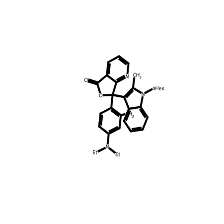 CCCCCCn1c(C)c(C2(c3ccc(N(CC)CC)cc3C)OC(=O)c3cccnc32)c2ccccc21